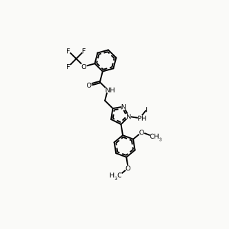 COc1ccc(-c2cc(CNC(=O)c3ccccc3OC(F)(F)F)nn2PI)c(OC)c1